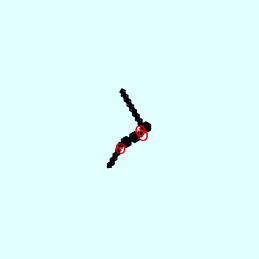 CCCCCCCCCCCCCCCc1ccccc1OC(=O)c1ccc(-c2ccc(C(C)OCCCCCCCC)cc2)cc1